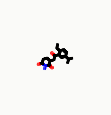 CCc1ccc(C(C)C)cc1C(=O)CC1CCC(=O)NC1=O